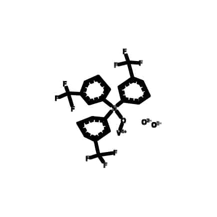 FC(F)(F)c1cccc([Si]([O][V+4])(c2cccc(C(F)(F)F)c2)c2cccc(C(F)(F)F)c2)c1.[O-2].[O-2]